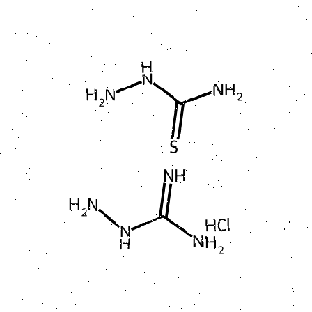 Cl.N=C(N)NN.NNC(N)=S